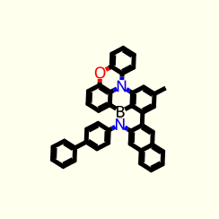 Cc1cc2c3c(c1)N1c4ccccc4Oc4cccc(c41)B3N(c1ccc(-c3ccccc3)cc1)c1cc3ccccc3cc1-2